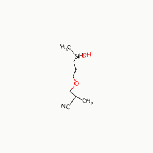 CC(C#N)COCCC[SiH](C)O